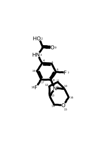 O=C(O)Nc1cc(F)c(N2C3CCC2COC3)c(F)c1